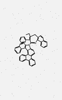 CCC1=C(c2ccccc2)C(n2c3ccc4ccccc4c3c3c4c5ccccc5c5ccccc5c4ccc32)=Nc2c(ccc3ccccc23)C1